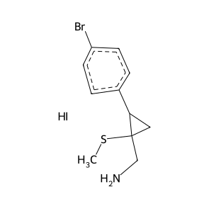 CSC1(CN)CC1c1ccc(Br)cc1.I